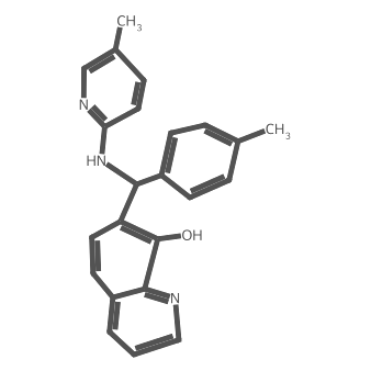 Cc1ccc(C(Nc2ccc(C)cn2)c2ccc3cccnc3c2O)cc1